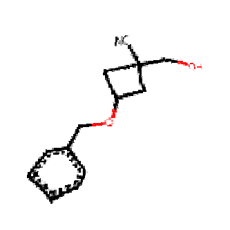 N#CC1(CO)CC(OCc2ccccc2)C1